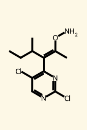 CCC(C)/C(=C(/C)ON)c1nc(Cl)ncc1Cl